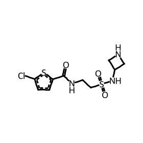 O=C(NCCS(=O)(=O)NC1CNC1)c1ccc(Cl)s1